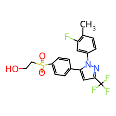 Cc1ccc(-n2nc(C(F)(F)F)cc2-c2ccc(S(=O)(=O)CCO)cc2)cc1F